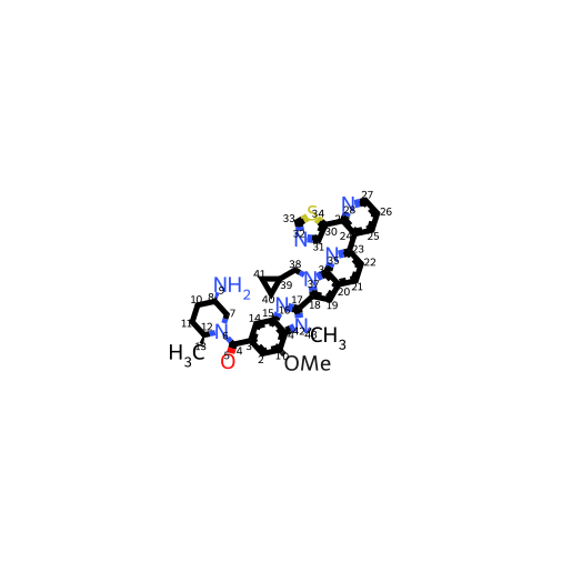 COc1cc(C(=O)N2C[C@H](N)CC[C@@H]2C)cc2nc(-c3cc4ccc(-c5cccnc5-c5cncs5)nc4n3CC3CC3)n(C)c12